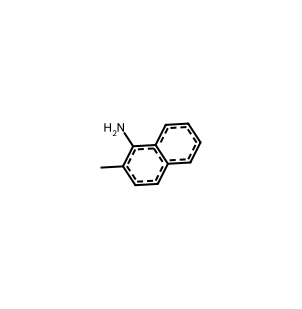 Cc1ccc2ccccc2c1N